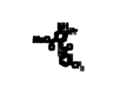 COC(=O)c1cc(=N)n(C(C)C)cc1NC(=O)c1cccc(C(F)(F)F)n1